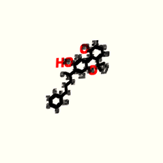 CC(CCCc1ccccc1)C1=CC2OC(C)(C)C3=CC=CC(=O)C3=C2C=C1O